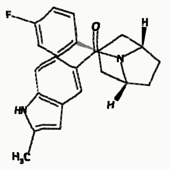 Cc1cc2cc(C(=O)N3[C@@H]4CC[C@H]3C[C@@H](c3ccc(F)cc3)C4)ccc2[nH]1